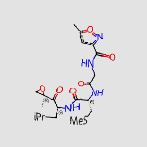 CSC[C@@H](NC(=O)CNC(=O)c1cc(C)on1)C(=O)N[C@@H](CC(C)C)C(=O)[C@@]1(C)CO1